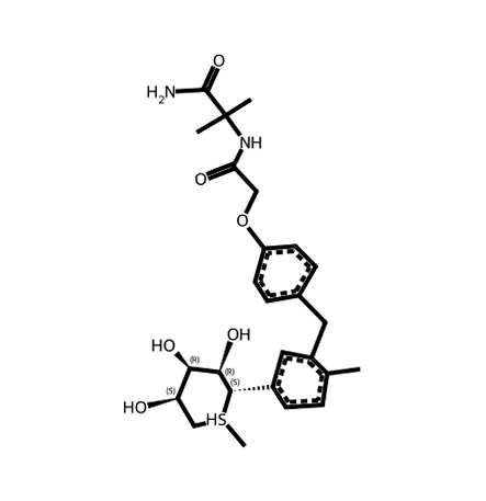 Cc1ccc([C@H]2[C@H](O)[C@H](O)[C@H](O)C[SH]2C)cc1Cc1ccc(OCC(=O)NC(C)(C)C(N)=O)cc1